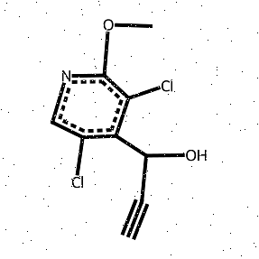 C#CC(O)c1c(Cl)cnc(OC)c1Cl